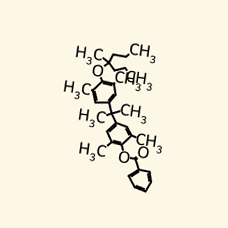 CCCC(C)(CCC)Oc1c(C)cc(C(C)(C)c2cc(C)c(OC(=O)c3ccccc3)c(C)c2)cc1C